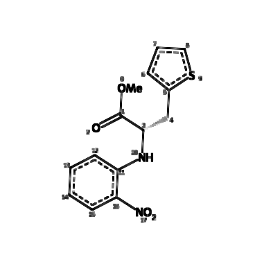 COC(=O)[C@H](Cc1cccs1)Nc1ccccc1[N+](=O)[O-]